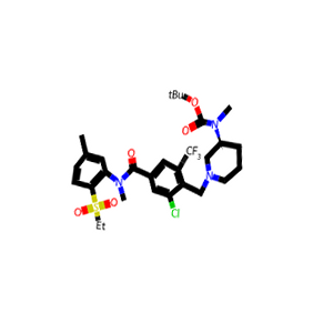 CCS(=O)(=O)c1ccc(C)cc1N(C)C(=O)c1cc(Cl)c(CN2CCC[C@H](N(C)C(=O)OC(C)(C)C)C2)c(C(F)(F)F)c1